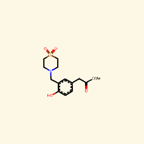 COC(=O)Cc1ccc(O)c(CN2CCS(=O)(=O)CC2)c1